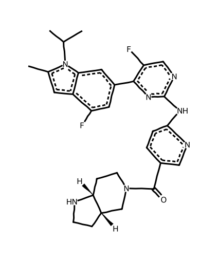 Cc1cc2c(F)cc(-c3nc(Nc4ccc(C(=O)N5CC[C@H]6NCC[C@H]6C5)cn4)ncc3F)cc2n1C(C)C